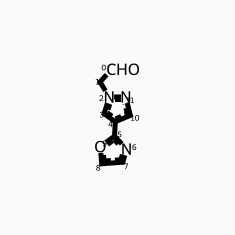 O=CCn1cc(-c2ncco2)cn1